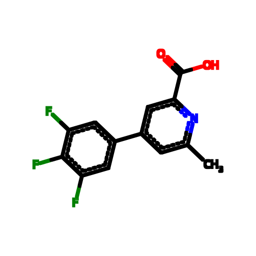 Cc1cc(-c2cc(F)c(F)c(F)c2)cc(C(=O)O)n1